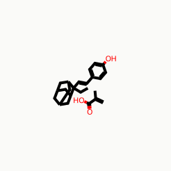 C=C(C)C(=O)O.CCC1(C=Cc2ccc(O)cc2)C2CC3CC(C2)CC1C3